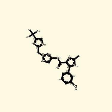 Cc1nc(C(=O)Nc2cnn(Cc3nc(C(C)(F)F)cs3)n2)c(-c2cccc(Cl)c2)o1